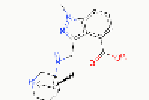 Cn1nc(CN[C@H]2CN3CCC2CC3)c2c(C(=O)O)cccc21